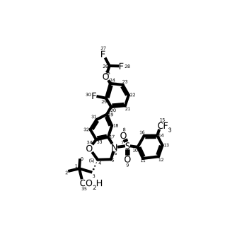 CC(C)(C[C@H]1CN(S(=O)(=O)c2cccc(C(F)(F)F)c2)c2cc(-c3cccc(OC(F)F)c3F)ccc2O1)C(=O)O